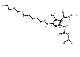 CCCCCCCCCCCCOc1cn(OC(=O)OC(C)C)c(C(=O)OCC)c1Cl